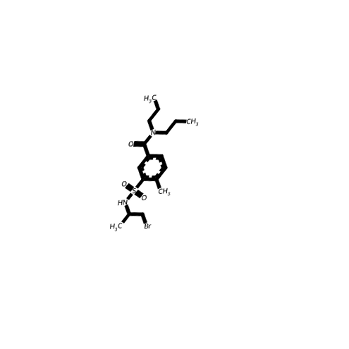 CCCN(CCC)C(=O)c1ccc(C)c(S(=O)(=O)NC(C)CBr)c1